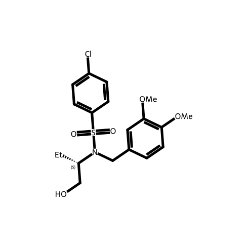 CC[C@@H](CO)N(Cc1ccc(OC)c(OC)c1)S(=O)(=O)c1ccc(Cl)cc1